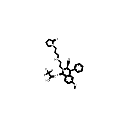 COc1ccc2c(=O)n(CCNCCCN3CCCC3=O)c(C#N)c(-c3ccccc3)c2c1.O=C(O)C(F)(F)F